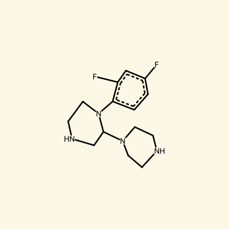 Fc1ccc(N2CCNCC2N2CCNCC2)c(F)c1